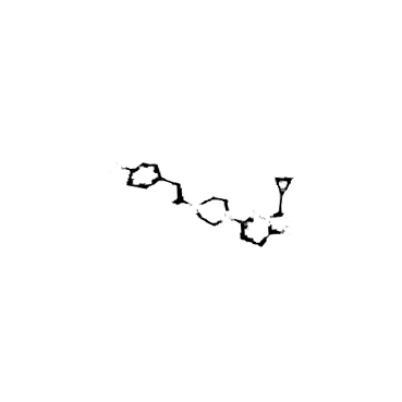 Nc1ccc(CC(=O)N2CCN(c3ccc4nnc(C5CC5)n4n3)CC2)cc1